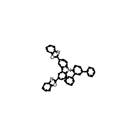 c1ccc(-c2ccc(-n3c4ccc(-c5nc6ccccc6o5)cc4c4cc(-c5nc6ccccc6o5)ccc43)c(-c3ccccc3)c2)cc1